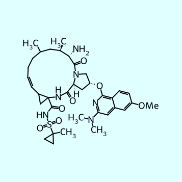 COc1ccc2c(O[C@@H]3C[C@H]4C(=O)NC5(C(=O)NS(=O)(=O)C6(C)CC6)CC5/C=C\CCC(C)C[C@@H](C)[C@H](N)C(=O)N4C3)nc(N(C)C)cc2c1